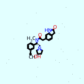 C#Cc1cccc([C@@H](CN2CC[C@H](O)C2)N(C)C(=O)Cc2ccc3c(c2)NC(=O)C3)c1